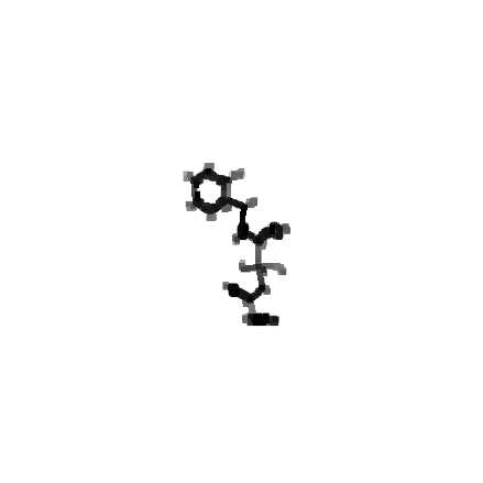 CNC(=O)CC(C)(C)C(=O)OCc1ccccc1